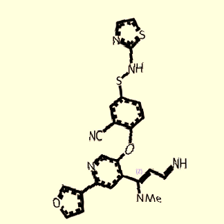 CN/C(=C\C=N)c1cc(-c2ccoc2)ncc1Oc1ccc(SNc2nccs2)cc1C#N